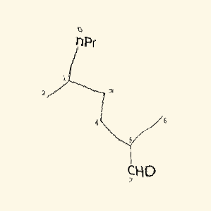 CCCC(C)CCC(C)C=O